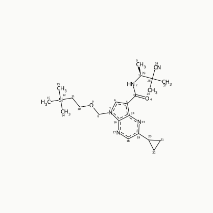 C[C@H](NC(=O)c1cn(COCC[Si](C)(C)C)c2ncc(C3CC3)nc12)C(C)(C)C#N